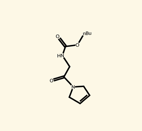 CCCCOC(=O)NCC(=O)N1CC=CC1